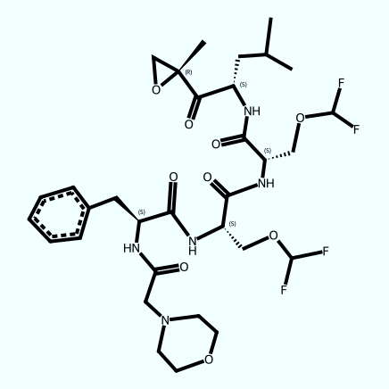 CC(C)C[C@H](NC(=O)[C@H](COC(F)F)NC(=O)[C@H](COC(F)F)NC(=O)[C@H](Cc1ccccc1)NC(=O)CN1CCOCC1)C(=O)[C@@]1(C)CO1